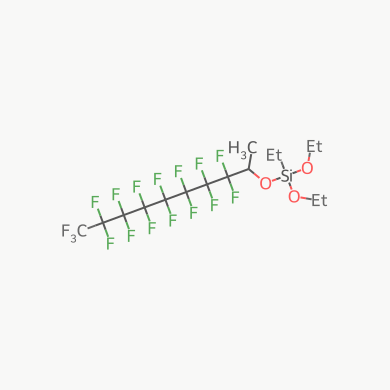 CCO[Si](CC)(OCC)OC(C)C(F)(F)C(F)(F)C(F)(F)C(F)(F)C(F)(F)C(F)(F)C(F)(F)C(F)(F)F